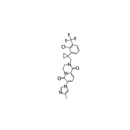 Cc1cn(-c2ccc3n(c2=O)CCN(CC2(c4cccc(C(F)(F)F)c4Cl)CC2)C3=O)cn1